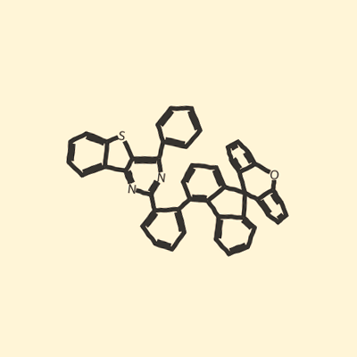 c1ccc(-c2nc(-c3ccccc3-c3cccc4c3-c3ccccc3C43c4ccccc4Oc4ccccc43)nc3c2sc2ccccc23)cc1